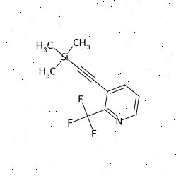 C[Si](C)(C)C#Cc1cccnc1C(F)(F)F